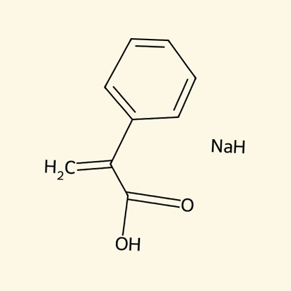 C=C(C(=O)O)c1ccccc1.[NaH]